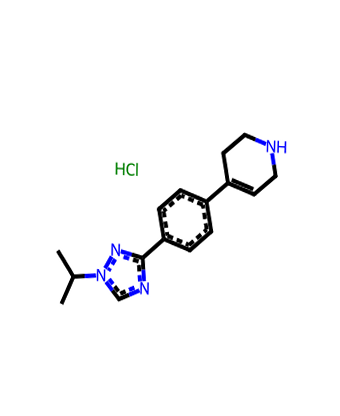 CC(C)n1cnc(-c2ccc(C3=CCNCC3)cc2)n1.Cl